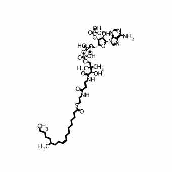 CCCCCC(C)CC/C=C\CCCCCCCC(=O)SCCNC(=O)CCNC(=O)[C@H](O)C(C)(C)COP(=O)(O)OP(=O)(O)OC[C@H]1O[C@@H](n2cnc3c(N)ncnc32)[C@H](O)[C@@H]1OP(=O)(O)O